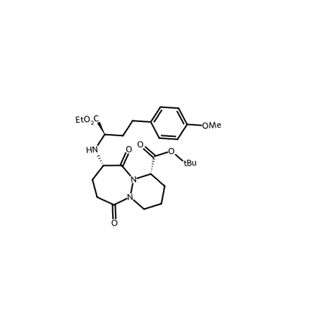 CCOC(=O)[C@@H](CCc1ccc(OC)cc1)N[C@H]1CCC(=O)N2CCC[C@@H](C(=O)OC(C)(C)C)N2C1=O